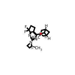 C[C@H]1CCN1c1nc(N2C[C@H]3C[C@@H](C2)C3CC(=O)O)c2c(n1)C(F)(F)CC2